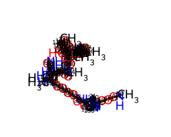 CNCCOCCOCCOCCn1nnc2c1-c1ccccc1CN(C(=O)CCNC(=O)CCOCCOCCOCCOCCC(=O)N[C@H](C(=O)N[C@@H](CCCNC(N)=O)C(=O)Nc1ccc(COC(=O)N(C)CCN(C)C(=O)OCC(=O)[C@]3(O)Cc4c(O)c5c(c(O)c4[C@@H](OC4C[C@H]6[C@H](O[C@@H]7[C@@H](OC)OCCN76)[C@H](C)O4)C3)C(=O)c3c(OC)cccc3C5=O)cc1)C(C)C)c1ccccc1-2